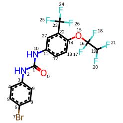 O=C(Nc1ccc(Br)cc1)Nc1ccc(OC(F)(F)C(F)F)c(C(F)(F)F)c1